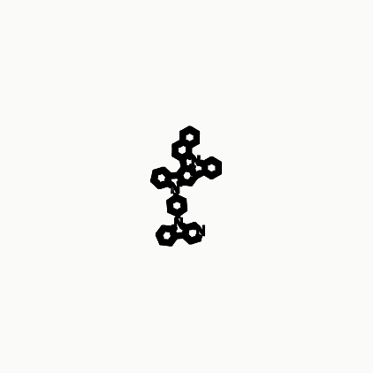 c1ccc2c(c1)ccc1c3c4c5ccccc5n(-c5ccc(-n6c7ccccc7c7ccncc76)cc5)c4cc4c5ccccc5n(c21)c43